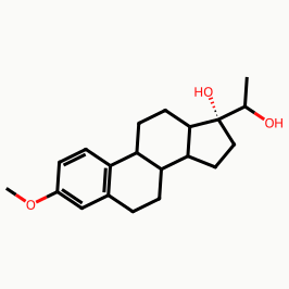 COc1ccc2c(c1)CCC1C2CCC2C1CC[C@]2(O)C(C)O